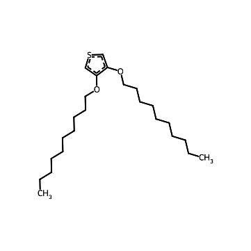 CCCCCCCCCCOc1cscc1OCCCCCCCCCC